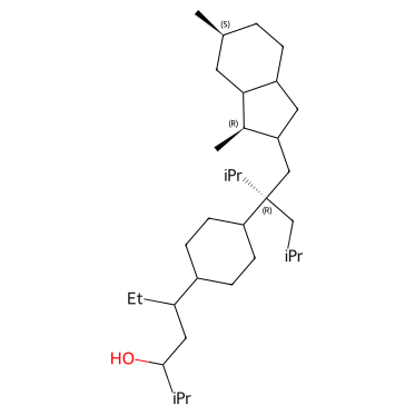 CCC(CC(O)C(C)C)C1CCC([C@](CC(C)C)(CC2CC3CC[C@H](C)CC3[C@@H]2C)C(C)C)CC1